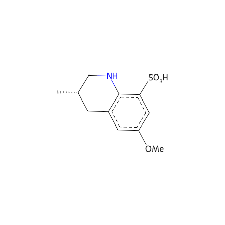 COc1cc2c(c(S(=O)(=O)O)c1)NC[C@@H](C)C2